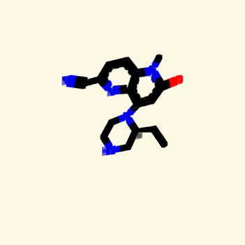 CC[C@H]1CNCCN1c1cc(=O)n(C)c2ccc(C#N)nc12